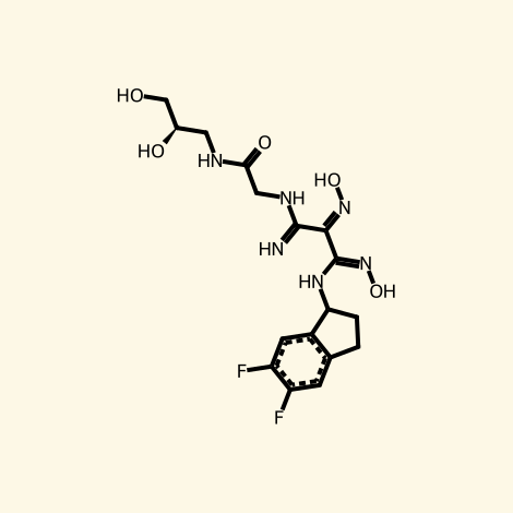 N=C(NCC(=O)NC[C@@H](O)CO)C(=N\O)/C(=N/O)NC1CCc2cc(F)c(F)cc21